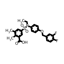 CCN(c1ccc(OCc2ccc(F)c(F)c2)cc1)S(=O)(=O)c1cc(C)c(C)c(C(=O)O)c1